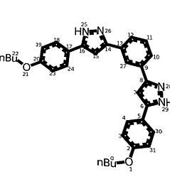 CCCCOc1ccc(-c2cc(-c3cccc(-c4cc(-c5ccc(OCCCC)cc5)[nH]n4)c3)n[nH]2)cc1